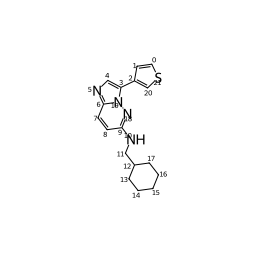 c1cc(-c2cnc3ccc(NCC4CCCCC4)nn23)cs1